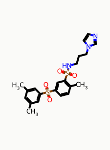 Cc1cc(C)cc(S(=O)(=O)c2ccc(C)c(S(=O)(=O)NCCCn3ccnc3)c2)c1